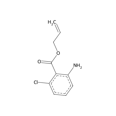 C=CCOC(=O)c1c(N)cccc1Cl